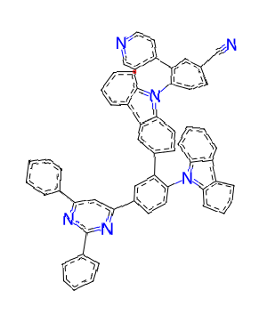 N#Cc1ccc(-n2c3ccccc3c3cc(-c4cc(-c5cc(-c6ccccc6)nc(-c6ccccc6)n5)ccc4-n4c5ccccc5c5ccccc54)ccc32)c(-c2ccncc2)c1